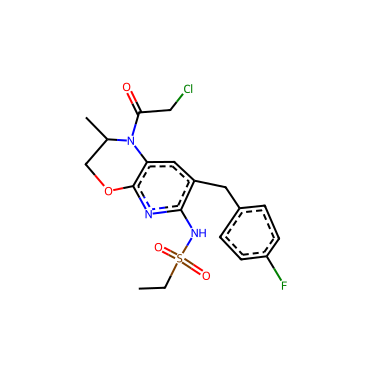 CCS(=O)(=O)Nc1nc2c(cc1Cc1ccc(F)cc1)N(C(=O)CCl)C(C)CO2